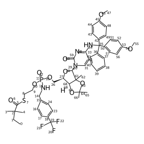 CCC(C)(C)C(=O)SCCOP(=O)(NCc1ccc(C(F)(F)F)cc1)OC[C@H]1O[C@@H](n2ccc(NC(c3ccccc3)(c3ccc(OC)cc3)c3ccc(OC)cc3)nc2=O)C2(C)OC(C)(C)O[C@@H]12